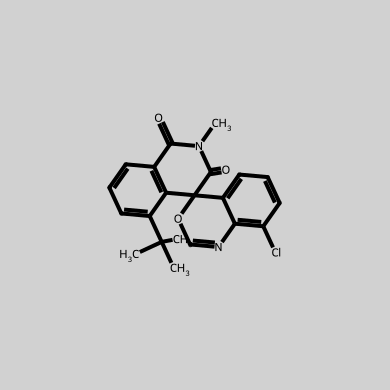 CN1C(=O)c2cccc(C(C)(C)C)c2C2(OC=Nc3c(Cl)cccc32)C1=O